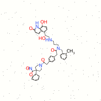 Cc1ccccc1CN(CCCNC[C@H](O)c1ccc(O)c2[nH]c(=O)ccc12)C(=O)Cc1ccc(CC(=O)N2CCC(C(=O)N=O)(c3ccccc3)CC2)cc1